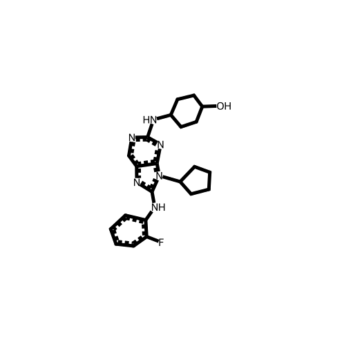 OC1CCC(Nc2ncc3nc(Nc4ccccc4F)n(C4CCCC4)c3n2)CC1